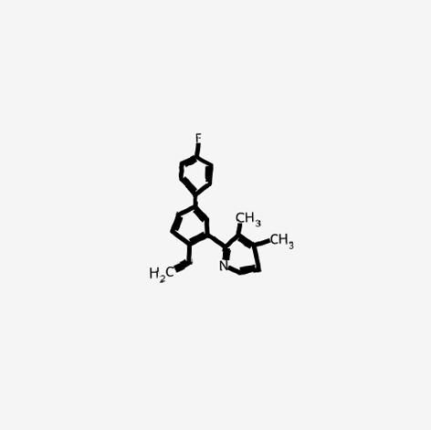 C=Cc1ccc(-c2ccc(F)cc2)cc1-c1nccc(C)c1C